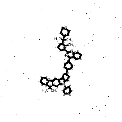 Cc1c(-c2nc(-c3ccc(-c4ccc5c(c4)c4c(n5-c5ccccc5)CC5C(=C4)c4ccccc4C5(C)C)cc3)c3ccccc3n2)cccc1C(C)(C)c1ccccc1